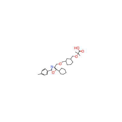 Cc1ccc(-c2nc(COCC3CCCC(COC(C)(C)C(=O)O)C3)c(C3CCCCC3)o2)cc1